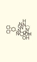 O=C(C1CC1)N1CCCC(Nc2nccc(-n3c(-c4ccc(Cl)c(Cl)c4)nc4cc(O)c(O)cc43)n2)C1